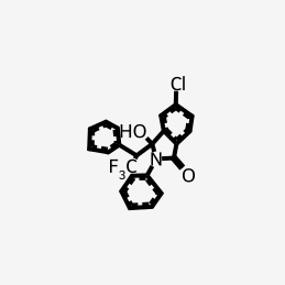 O=C1c2ccc(Cl)cc2C(O)(C(c2ccccc2)C(F)(F)F)N1c1ccccc1